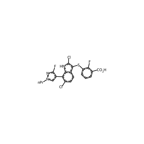 CCCn1cc(-c2c(Cl)ccc3c(Sc4cccc(C(=O)O)c4F)c(Cl)[nH]c23)c(F)n1